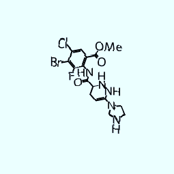 COC(=O)c1cc(Cl)c(Br)c(F)c1NC(=O)C1CC=C(N2CCNC2)NN1